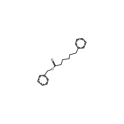 O=C(CCCCCc1ccccc1)OCc1ccccc1